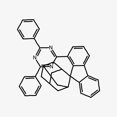 c1ccc(-c2nc(-c3ccccc3)nc(-c3cccc4c3C3(c5ccccc5-4)C4CC5CC(C4)CC3C5)n2)cc1